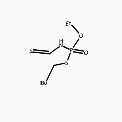 CCOP(=O)(NC=S)SCC(C)CC